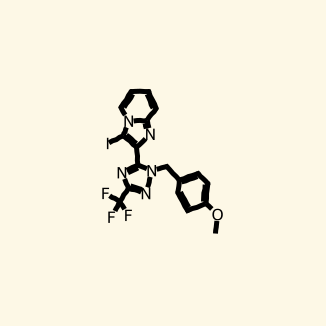 COc1ccc(Cn2nc(C(F)(F)F)nc2-c2nc3ccccn3c2I)cc1